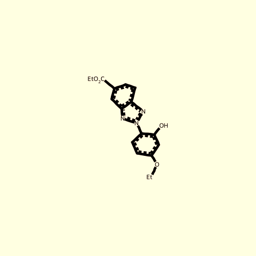 CCOC(=O)c1ccc2nn(-c3ccc(OCC)cc3O)nc2c1